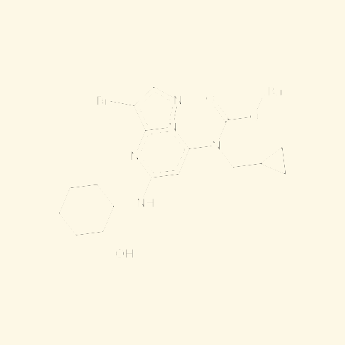 CC(C)(C)OC(=O)N(CC1CC1)c1cc(N[C@H]2CCCC[C@H]2O)nc2c(Br)cnn12